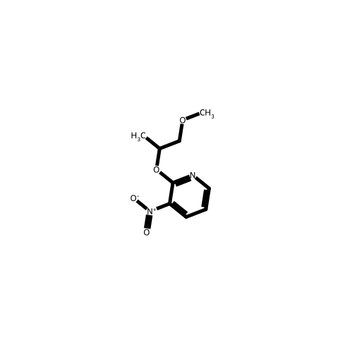 COCC(C)Oc1ncccc1[N+](=O)[O-]